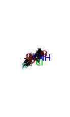 CN(c1cc(Cl)c2c(c1)C1(CCC1)C(=O)N2)S(=O)(=O)c1ccc(F)cc1